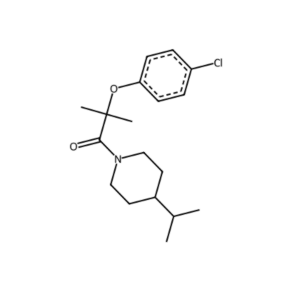 CC(C)C1CCN(C(=O)C(C)(C)Oc2ccc(Cl)cc2)CC1